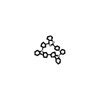 c1ccc(-c2nc(-c3cccc(-n4c5ccccc5c5ccc(-c6ccc7c(c6)c6ccccc6n7-c6ccccc6)cc54)c3)c3ccccc3n2)cc1